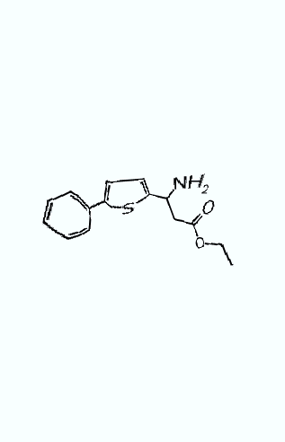 CCOC(=O)CC(N)c1ccc(-c2ccccc2)s1